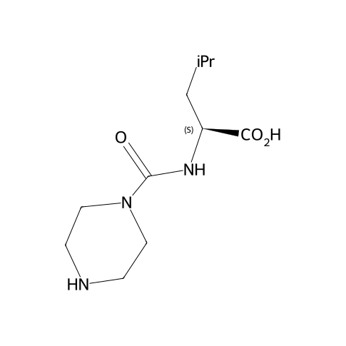 CC(C)C[C@H](NC(=O)N1CCNCC1)C(=O)O